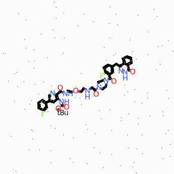 CC(C)(C)OC(=O)Nc1cc(-c2cccc(F)c2)cnc1C(=O)NCCOCCNCC(=O)N1CCN(C(=O)c2cc(Cc3n[nH]c(=O)c4ccccc34)ccc2F)CC1